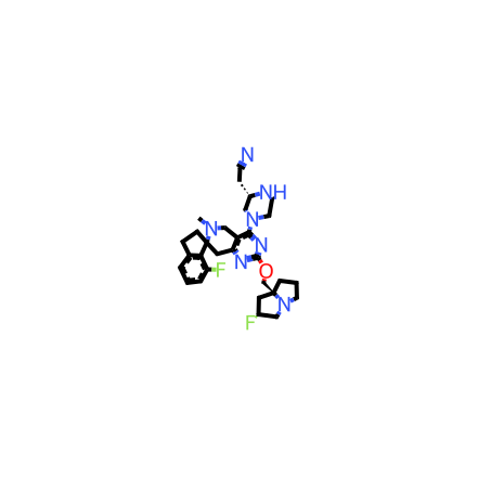 CN1Cc2c(nc(OC[C@@]34CCCN3C[C@H](F)C4)nc2N2CCN[C@@H](CC#N)C2)CC12CCc1cccc(F)c12